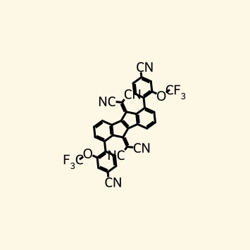 N#CC(C#N)=C1C2=C(C(=C(C#N)C#N)c3c2cccc3-c2ccc(C#N)cc2OC(F)(F)F)c2cccc(-c3ccc(C#N)cc3OC(F)(F)F)c21